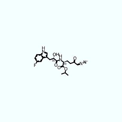 CC(C)OC(=O)[C@H](CCC(=O)C=[N+]=[N-])NC(=O)[C@@H](O)Cc1c[nH]c2ccc(F)cc12